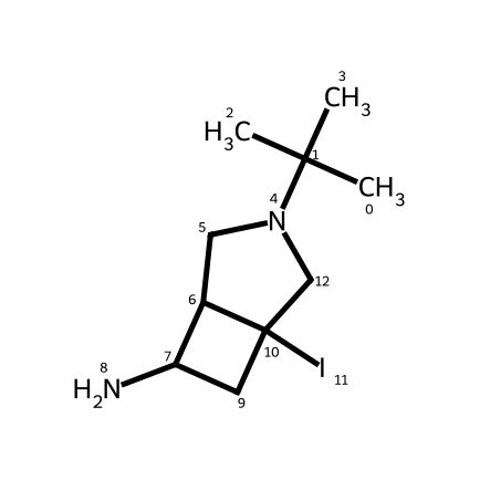 CC(C)(C)N1CC2C(N)CC2(I)C1